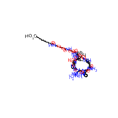 CCCC[C@H](NC(=O)COCCOCCNC(=O)COCCOCCNC(=O)CCCCCCCCCCCCCCC(=O)O)C(=O)N[C@H]1CCC(=O)NCCCC[C@@H](C(N)=O)NC(=O)[C@H](Cc2c[nH]c3ccccc23)NC(=O)[C@H](CCCNC(=N)N)NC(=O)[C@@H](Cc2ccccc2)NC(=O)[C@@H]2C[C@@H](O)CN2C1=O